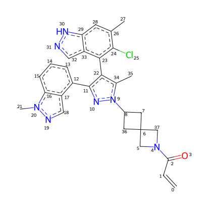 C=CC(=O)N1CC2(CC(n3nc(-c4cccc5c4cnn5C)c(-c4c(Cl)c(C)cc5[nH]ncc45)c3C)C2)C1